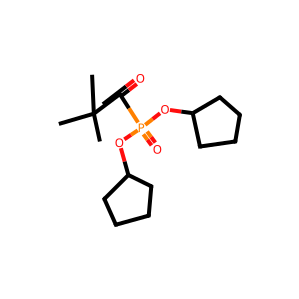 CC(C)(C)C(=O)P(=O)(OC1CCCC1)OC1CCCC1